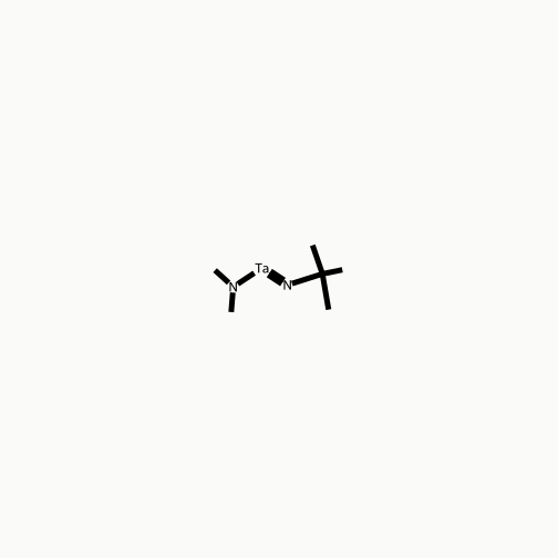 C[N](C)[Ta]=[N]C(C)(C)C